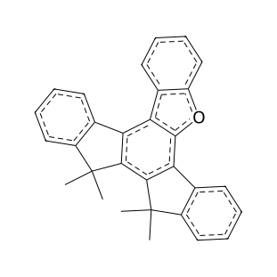 CC1(C)c2ccccc2-c2c1c1c(c3c2oc2ccccc23)-c2ccccc2C1(C)C